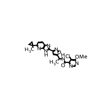 COc1ncnc(C(=O)N[C@H](C)c2cc(-c3nc4ccc(C5(C)CC5)nc4[nH]3)no2)c1Cl